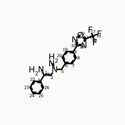 N/C(=C\N(N)Cc1ccc(-c2noc(C(F)(F)F)n2)cc1)c1ccccc1